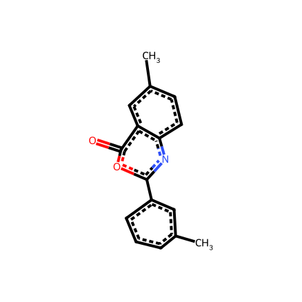 Cc1cccc(-c2nc3ccc(C)cc3c(=O)o2)c1